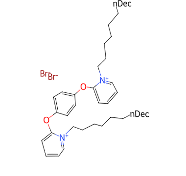 CCCCCCCCCCCCCCCC[n+]1ccccc1Oc1ccc(Oc2cccc[n+]2CCCCCCCCCCCCCCCC)cc1.[Br-].[Br-]